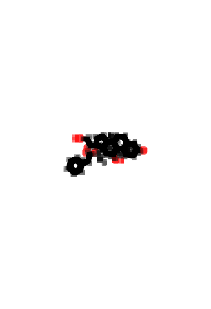 C[C@]12C=CC(=O)C=C1CC[C@@H]1[C@@H]2C(O)C[C@@]2(C)[C@H]1CC[C@]2(OC(=O)Cc1ccccc1)C(=O)CO